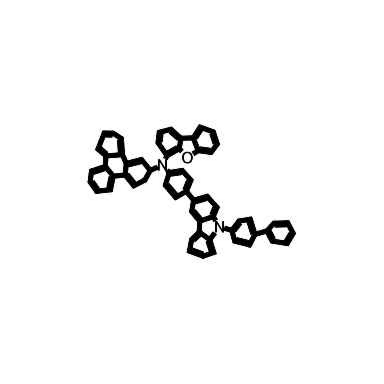 C1=c2c(c3ccccc3c3ccccc23)=CC(N(c2ccc(-c3ccc4c(c3)c3ccccc3n4-c3ccc(-c4ccccc4)cc3)cc2)c2cccc3c2oc2ccccc23)C1